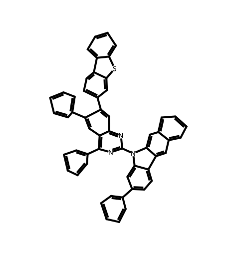 c1ccc(-c2ccc3c4cc5ccccc5cc4n(-c4nc(-c5ccccc5)c5cc(-c6ccccc6)c(-c6ccc7c(c6)sc6ccccc67)cc5n4)c3c2)cc1